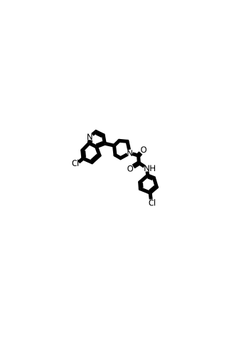 O=C(Nc1ccc(Cl)cc1)C(=O)N1CCC(c2ccnc3cc(Cl)ccc23)CC1